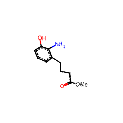 COC(=O)CCCc1cccc(O)c1N